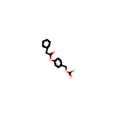 O=C(Cl)OCc1ccc(OC(=O)Cc2ccccc2)cc1